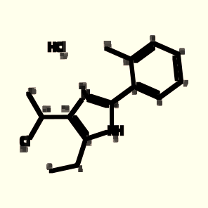 CCc1[nH]c(-c2ccccc2C)nc1C(C)Cl.Cl